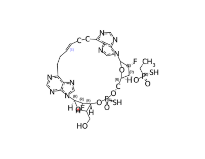 CC[P@](=O)(S)O[C@@H]1[C@H]2CO[P@@](=O)(S)O[C@@H]3C(CO)O[C@H]([C@@H]3F)n3cnc4c(ncnc43)CC/C=C/CCc3ncnc4c3ncn4C(O2)[C@@H]1F